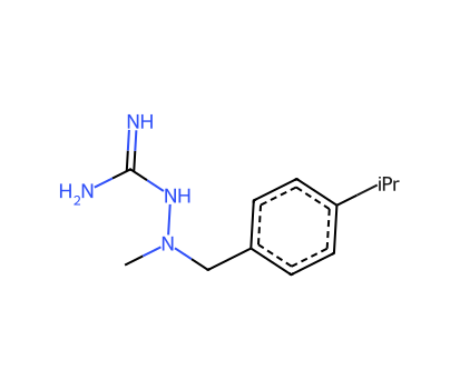 CC(C)c1ccc(CN(C)NC(=N)N)cc1